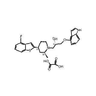 C[C@H]1C[C@@H](c2cc3c(F)cccc3s2)CCN1C[C@H](O)COc1cccc2[nH]ccc12.O=C(O)C(=O)O